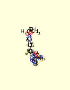 CC(C)(C)OC(=O)N1CCN(c2ccc(-c3cc(F)c4c(c3)C(=O)N([C@@H](C(=O)Nc3nccs3)c3ncn5c3C[C@@H](F)C5)C4)cc2)CC1